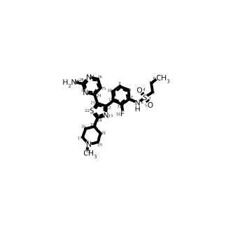 CCCS(=O)(=O)Nc1cccc(-c2nc(C3CCN(C)CC3)sc2-c2ccnc(N)n2)c1F